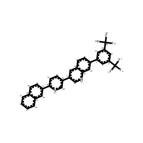 FC(F)(F)c1cc(-c2ccc3cc(-c4ccc(-c5ccc6ccccc6c5)nc4)cnc3c2)cc(C(F)(F)F)c1